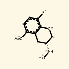 COc1ccc(F)c2c1C[C@@H](NC(C)(C)C)CO2